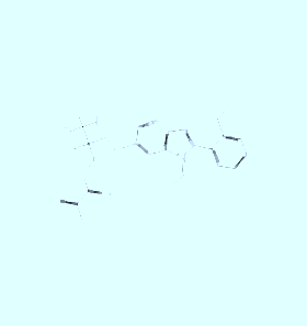 C=C(C)C(=O)OCC(C)(COc1ccc2cc(-c3ccccc3CC)n(CC)c2c1)C(F)(F)F